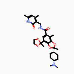 Cc1cc(C)c(CNC(=O)c2cc(C3(C)OCCO3)c3c(c2C)OC(C)([C@H]2CC[C@H](N(C)C)CC2)O3)c(=O)[nH]1